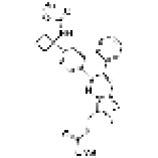 COC(=O)C=Cc1c(C)nc2cc(-c3ccccc3)c(-c3ccc(C4(NC(=O)OC(C)(C)C)CCC4)cc3)nn12